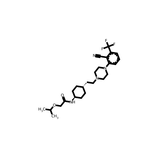 CC(C)OCC(=O)N[C@H]1CC[C@H](CCN2CCN(c3cccc(C(F)(F)F)c3C#N)CC2)CC1